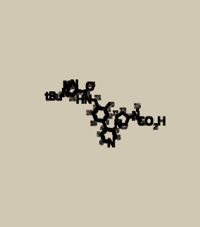 Cc1cc(-c2ccncc2N2CCC(N(C)C(=O)O)C2)ccc1CNC(=O)c1cn(C(C)(C)C)nn1